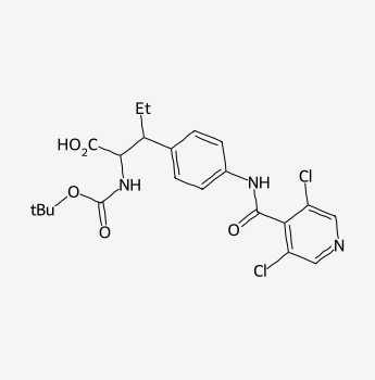 CCC(c1ccc(NC(=O)c2c(Cl)cncc2Cl)cc1)C(NC(=O)OC(C)(C)C)C(=O)O